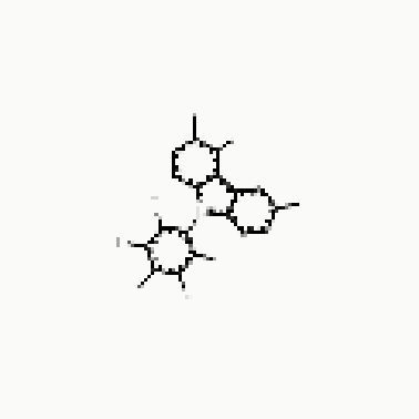 Cc1ccc2c(c1)c1c(F)c(C)ccc1n2-c1c(F)c(F)c(C)c(F)c1F